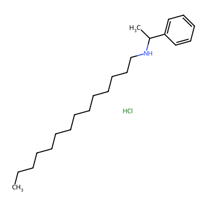 CCCCCCCCCCCCCCNC(C)c1ccccc1.Cl